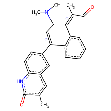 C/C(C=O)=C/c1ccccc1/C(=C\CN(C)C)c1ccc2[nH]c(=O)c(C)cc2c1